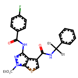 CCOC(=O)n1nc(NC(=O)c2ccc(F)cc2)c2c(C(=O)NC(CC)(CC)c3ccccc3)csc21